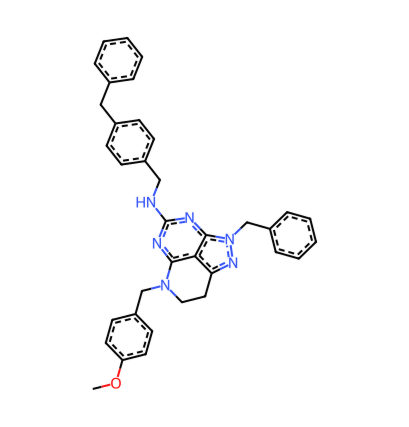 COc1ccc(CN2CCc3nn(Cc4ccccc4)c4nc(NCc5ccc(Cc6ccccc6)cc5)nc2c34)cc1